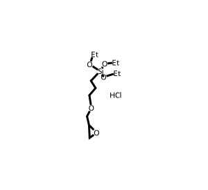 CCO[Si](CCCOCC1CO1)(OCC)OCC.Cl